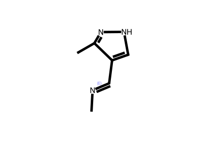 C/N=C/c1c[nH]nc1C